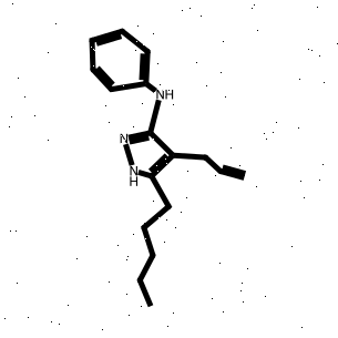 C=CCc1c(Nc2ccccc2)n[nH]c1CCCCC